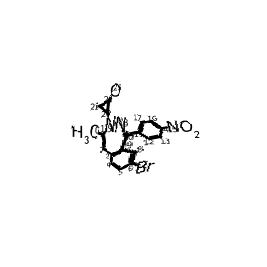 CC1=Cc2ccc(Br)cc2C(c2ccc([N+](=O)[O-])cc2)=NN1C1CC1=O